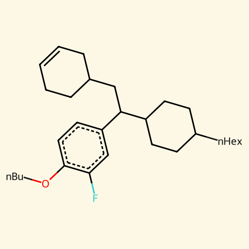 CCCCCCC1CCC(C(CC2CC=CCC2)c2ccc(OCCCC)c(F)c2)CC1